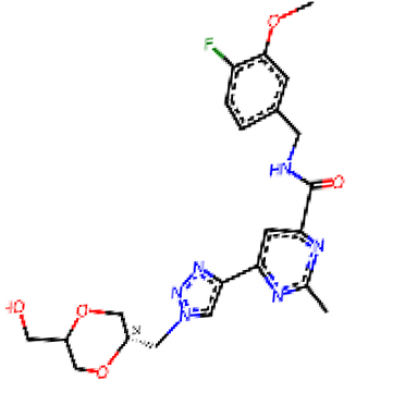 COc1cc(CNC(=O)c2cc(-c3cn(C[C@H]4COC(CO)CO4)nn3)nc(C)n2)ccc1F